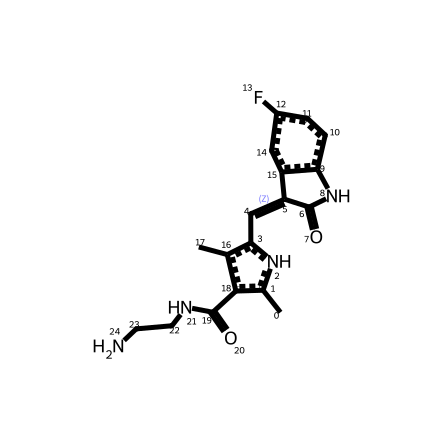 Cc1[nH]c(/C=C2\C(=O)Nc3ccc(F)cc32)c(C)c1C(=O)NCCN